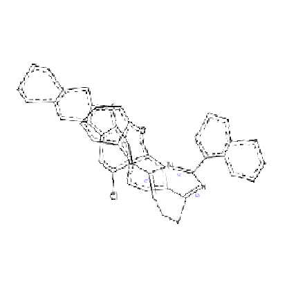 Clc1cc2c(cc1C1=C/CC/C(c3ccc4c(c3)oc3ccccc34)=N/C(c3cccc4ccccc34)=N\1)sc1cc3ccccc3cc12